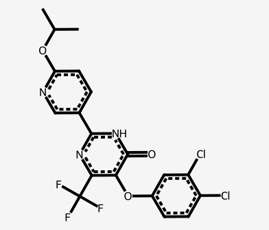 CC(C)Oc1ccc(-c2nc(C(F)(F)F)c(Oc3ccc(Cl)c(Cl)c3)c(=O)[nH]2)cn1